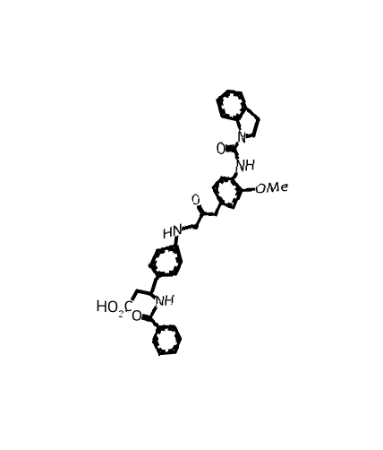 COc1cc(CC(=O)CNc2ccc(C(CC(=O)O)NC(=O)c3ccccc3)cc2)ccc1NC(=O)N1CCc2ccccc21